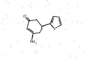 NC1=CC(=O)CC(c2cccs2)C1